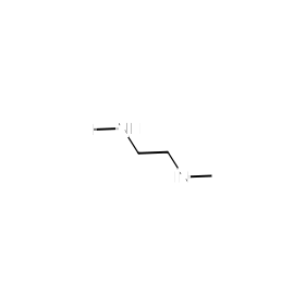 CNCCNI